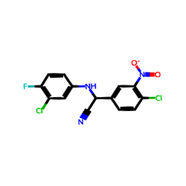 N#CC(Nc1ccc(F)c(Cl)c1)c1ccc(Cl)c([N+](=O)[O-])c1